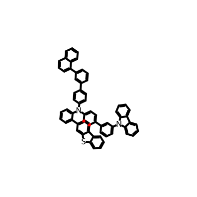 c1cc(-c2ccc(N(c3ccc(-c4cccc(-n5c6ccccc6c6ccccc65)c4)cc3)c3ccccc3-c3ccc4c(c3)sc3ccccc34)cc2)cc(-c2cccc3ccccc23)c1